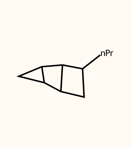 CCCC1CC2C3CC3C12